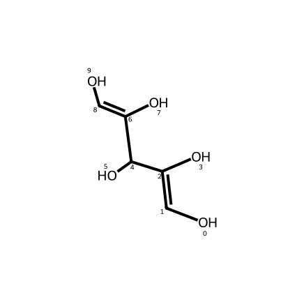 OC=C(O)C(O)/C(O)=C/O